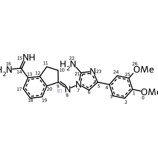 COc1ccc(-c2cn(/N=C3\CCc4c(C(=N)N)cccc43)c(N)n2)cc1OC